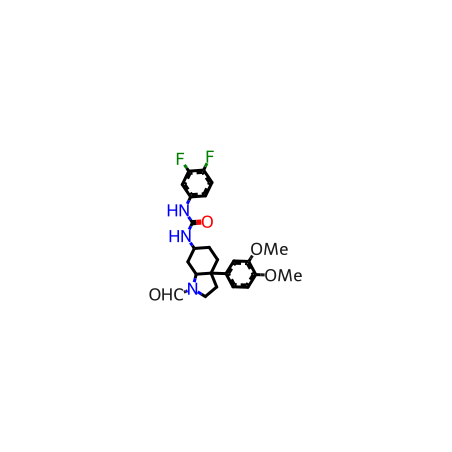 COc1ccc(C23CCC(NC(=O)Nc4ccc(F)c(F)c4)CC2N(C=O)CC3)cc1OC